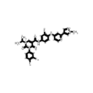 CC(C)n1cc(C(=O)Nc2ccc(Oc3ccnc(-c4cnn(C)c4)c3)c(F)c2)c(=O)n(-c2ccc(F)c(F)c2)c1=O